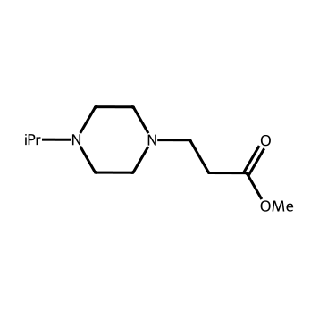 COC(=O)CCN1CCN(C(C)C)CC1